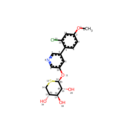 COc1ccc(-c2cncc(O[C@@H]3SC[C@@H](O)[C@H](O)[C@H]3O)c2)c(Cl)c1